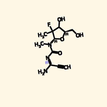 C#C/C(N)=N\C(=O)N(C)[C@@H]1O[C@H](CO)C(O)C1(C)F